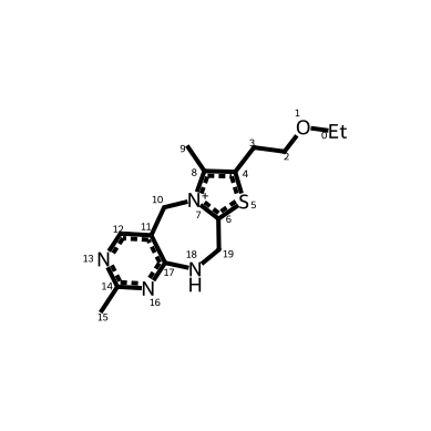 CCOCCc1sc2[n+](c1C)Cc1cnc(C)nc1NC2